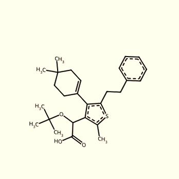 Cc1sc(CCc2ccccc2)c(C2=CCC(C)(C)CC2)c1C(OC(C)(C)C)C(=O)O